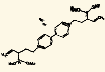 C=CC(CC[n+]1ccc(-c2cc[n+](CCC(C=C)[SiH](OC)OC)cc2)cc1)[SiH](OC)OC.[Br-].[Br-]